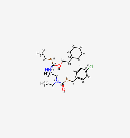 CCN(CC)C(=O)SCc1ccc(Cl)cc1.CCSC(=N)OCCC1CCCCC1